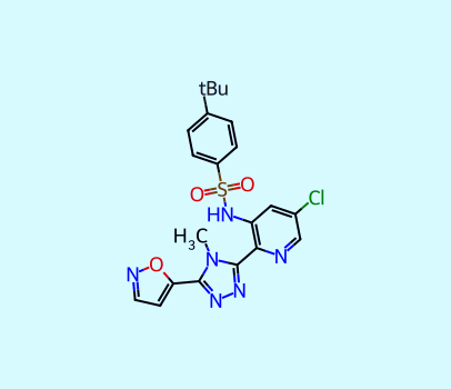 Cn1c(-c2ccno2)nnc1-c1ncc(Cl)cc1NS(=O)(=O)c1ccc(C(C)(C)C)cc1